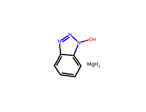 On1nnc2ccccc21.[MgH2]